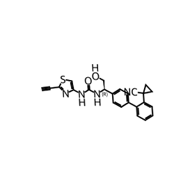 C#Cc1nc(NC(=O)N[C@@H](CO)c2ccc(-c3ccccc3C3(C#N)CC3)cc2)cs1